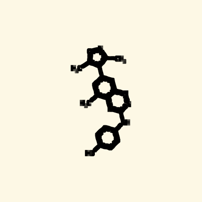 Cc1noc(C)c1-c1cc(C)c2nc(Nc3ccc(O)cc3)nnc2c1